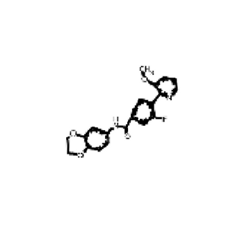 COc1cccnc1-c1ccc(C(=O)Nc2ccc3c(c2)OCCO3)cc1F